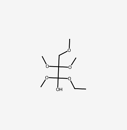 CCOC(O)(OC)C(COC)(OC)OC